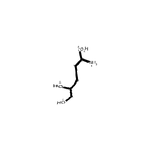 NC(CCC(O)CO)C(=O)O